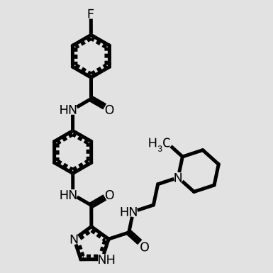 CC1CCCCN1CCNC(=O)c1[nH]cnc1C(=O)Nc1ccc(NC(=O)c2ccc(F)cc2)cc1